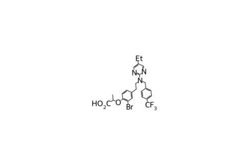 CCc1cnc(N(CCc2ccc(OC(C)C(=O)O)c(Br)c2)Cc2ccc(C(F)(F)F)cc2)nc1